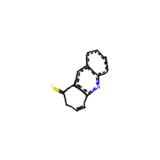 S=C1CC=Cc2nc3ccccc3cc21